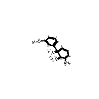 COc1cccc(C2(C(F)(F)F)C=CC=C(N)C2[N+](=O)[O-])c1